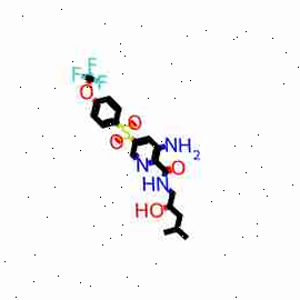 CC(C)CC(O)CNC(=O)c1ncc(S(=O)(=O)c2ccc(OC(F)(F)F)cc2)cc1N